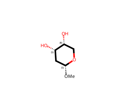 CO[C@@H]1C[C@H](O)[C@H](O)CO1